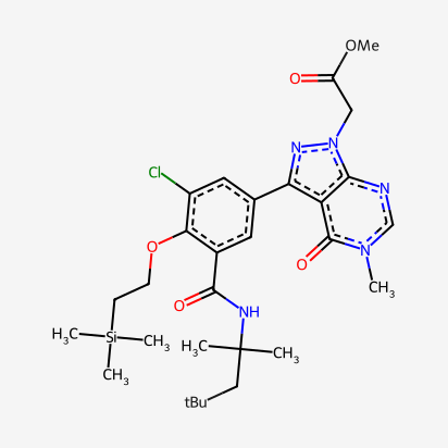 COC(=O)Cn1nc(-c2cc(Cl)c(OCC[Si](C)(C)C)c(C(=O)NC(C)(C)CC(C)(C)C)c2)c2c(=O)n(C)cnc21